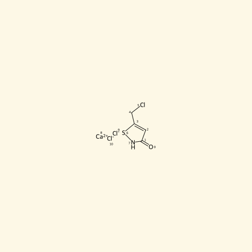 O=c1cc(CCl)s[nH]1.[Ca+2].[Cl-].[Cl-]